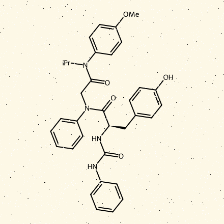 COc1ccc(N(C(=O)CN(C(=O)[C@@H](Cc2ccc(O)cc2)NC(=O)Nc2ccccc2)c2ccccc2)C(C)C)cc1